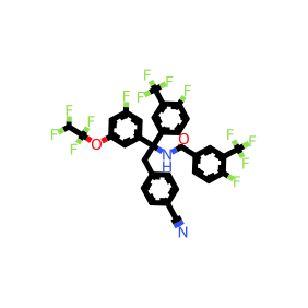 N#Cc1ccc(CC(NC(=O)c2ccc(F)c(C(F)(F)F)c2)(c2cc(F)cc(OC(F)(F)C(F)F)c2)c2ccc(F)c(C(F)(F)F)c2)cc1